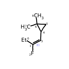 CC/C(F)=C\C1[CH]C1(C)C